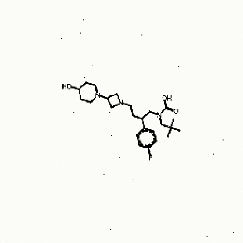 CC(C)(C)CN(CC(CCN1CC(N2CCC(O)CC2)C1)c1ccc(F)cc1)C(=O)O